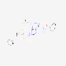 CC[C@@]1(C2(O[Si](C)(C)C(C)(C)C)CC2)O[C@@H](n2cnc3c(NC(=O)c4ccccc4)ncnc32)C(O)[C@H]1OCc1ccccc1